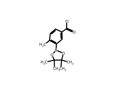 Cc1ccc(C(=O)Cl)cc1B1OC(C)(C)C(C)(C)O1